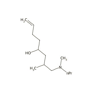 C=CCCC(O)CC(C)CN(C)CCC